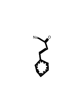 O=[C]([Na])C=Cc1ccccc1